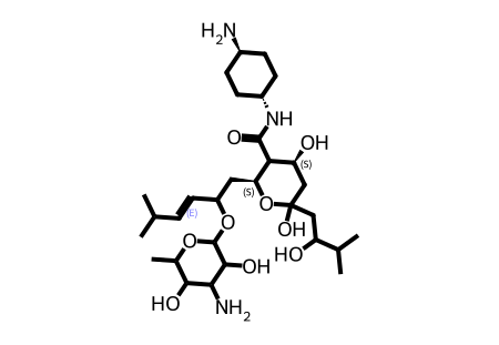 CC(C)/C=C/C(C[C@@H]1OC(O)(CC(O)C(C)C)C[C@H](O)C1C(=O)N[C@H]1CC[C@H](N)CC1)OC1OC(C)C(O)C(N)C1O